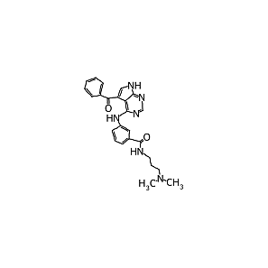 CN(C)CCCNC(=O)c1cccc(Nc2ncnc3[nH]cc(C(=O)c4ccccc4)c23)c1